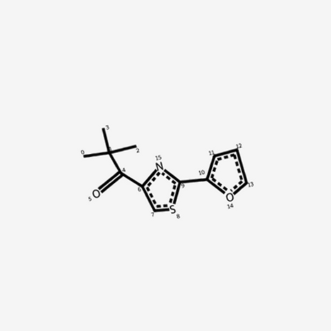 CC(C)(C)C(=O)c1csc(-c2ccco2)n1